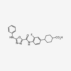 O=C(Nc1ccc(C2CCC(C(=O)O)CC2)cc1F)c1nnc(Nc2ccccc2)o1